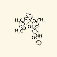 CC(=O)OC[C@H]1O[C@@H](n2ccc(NC(=O)c3ccccc3)nc2=O)C[C@H](OC(C)=O)[C@H](OC(C)=O)[C@@H]1OC(C)=O